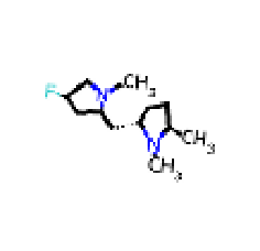 C[C@@H]1CC[C@@H](CC2C[C@@H](F)CN2C)N1C